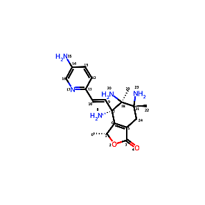 C[C@H]1OC(=O)C2=C1[C@@](N)(/C=C/c1ccc(N)cn1)[C@@](C)(N)[C@](C)(N)C2